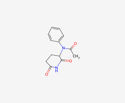 CC(=O)N(c1ccccc1)C1CCC(=O)NC1=O